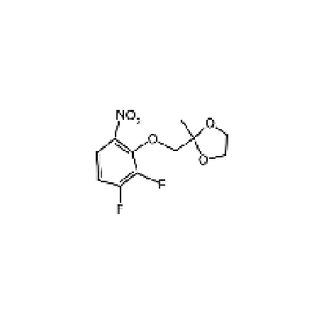 CC1(COc2c([N+](=O)[O-])ccc(F)c2F)OCCO1